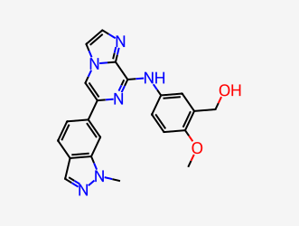 COc1ccc(Nc2nc(-c3ccc4cnn(C)c4c3)cn3ccnc23)cc1CO